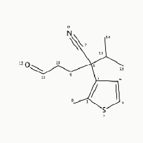 Cc1sccc1C(C#N)(CCC=O)C(C)C